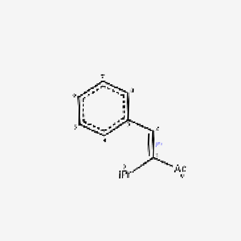 CC(=O)/C(=C/c1ccccc1)C(C)C